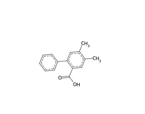 Cc1cc(C(=O)O)c(-c2ccccc2)cc1C